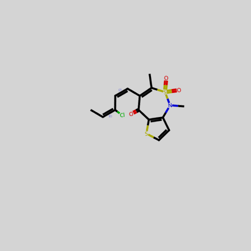 C/C=C(Cl)\C=C/C1=C(C)S(=O)(=O)N(C)c2ccsc2C1=O